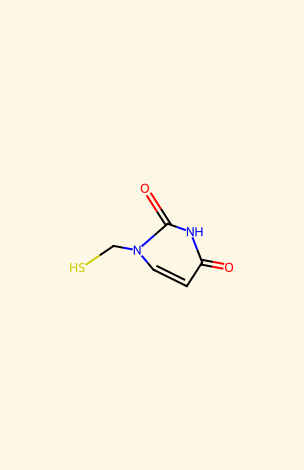 O=c1ccn(CS)c(=O)[nH]1